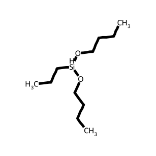 CCCCO[SiH](CCC)OCCCC